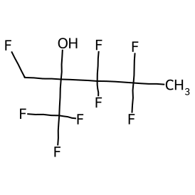 CC(F)(F)C(F)(F)C(O)(CF)C(F)(F)F